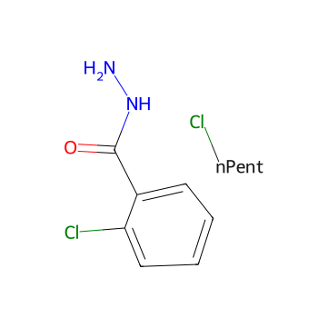 CCCCCCl.NNC(=O)c1ccccc1Cl